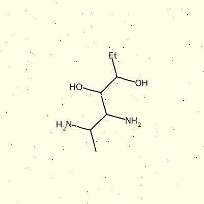 CCC(O)C(O)C(N)C(C)N